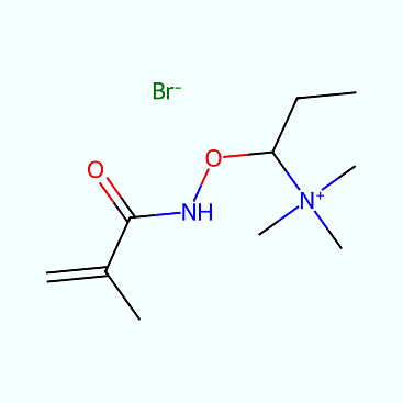 C=C(C)C(=O)NOC(CC)[N+](C)(C)C.[Br-]